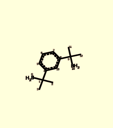 BC(C)(C)c1cccc(C(B)(C)C)c1